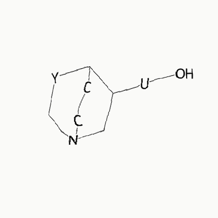 [OH][U][CH]1CN2CC[CH]1[Y][CH2]2